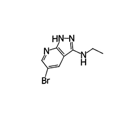 CCNc1n[nH]c2ncc(Br)cc12